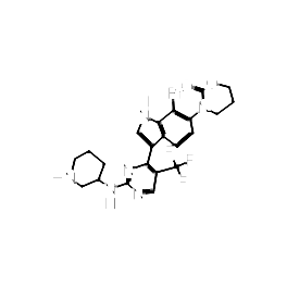 O=C1OCCCN1c1ccc2c(-c3nc(NC4CCCNC4)ncc3C(F)(F)F)c[nH]c2c1Br